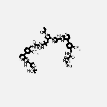 C=CC(=O)N1CC(CC(C)(C)c2noc(C(=O)NCc3ccc(-c4ccnc5[nH]c(-c6cnn(C(C)(C)C#N)c6)nc45)cc3C(F)(F)F)n2)C(n2cc(-c3nc4c(-c5ccc(CNC(=O)c6nc(C(C)(C)C)no6)c(C(F)(F)F)c5)ccnc4[nH]3)cn2)C1